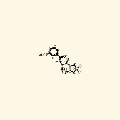 CCC(C)[C@H](NC(=O)c1cccc(OC)c1)C(=O)N1CS(=O)(=O)C[C@H]1C#N